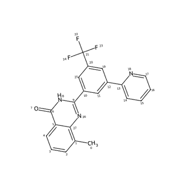 Cc1cccc2c(=O)[nH]c(-c3cc(-c4ccccn4)cc(C(F)(F)F)c3)nc12